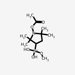 CO[N+](O)(O)C1CC(C)(C)N(OC(C)=O)C1(C)C